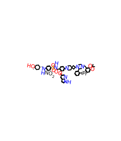 CC(C)c1ccccc1C1CN(Cc2cccc3c2OC(C)(C)O3)CCN1C1CC2(CCN(c3ccc(C(=O)NS(=O)(=O)c4ccc(NC[C@H]5CC[C@](C)(O)CC5)c([N+](=O)[O-])c4)c(Oc4cnc5[nH]ccc5c4)c3)CC2)C1